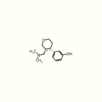 CN(C)C[C@H]1COCC[C@@H]1c1cccc(O)c1